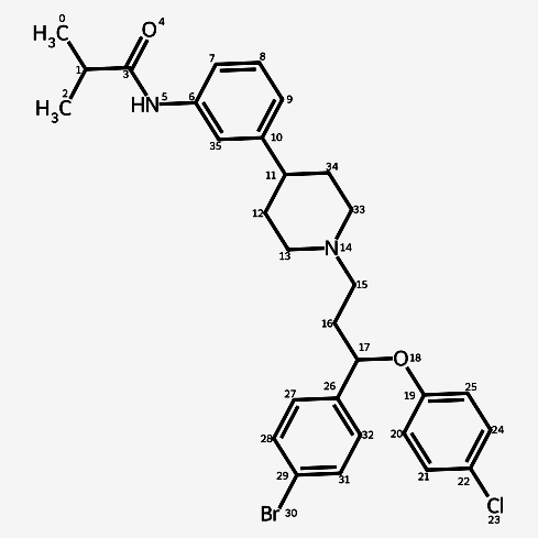 CC(C)C(=O)Nc1cccc(C2CCN(CCC(Oc3ccc(Cl)cc3)c3ccc(Br)cc3)CC2)c1